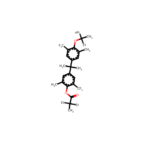 CCCC(C)(CC)Oc1c(C)cc(C(C)(C)c2cc(C)c(OC(=O)C(C)(CC)CC)c(C(F)(F)F)c2)cc1C(F)(F)F